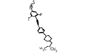 CCC(C)CC1CCC(c2ccc(C#Cc3c(F)cc(N=C=S)cc3F)cc2)CC1